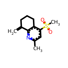 C=C1CCCc2c(S(C)(=O)=O)cc(C)nc21